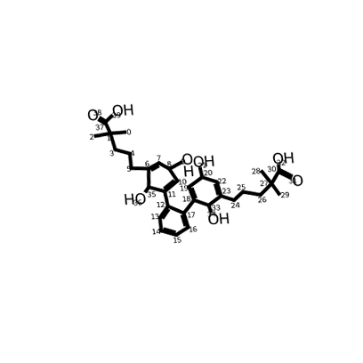 CC(C)(CCCC1=CC(O)C=C(c2ccccc2C2=CC(O)C=C(CCCC(C)(C)C(=O)O)C2O)C1O)C(=O)O